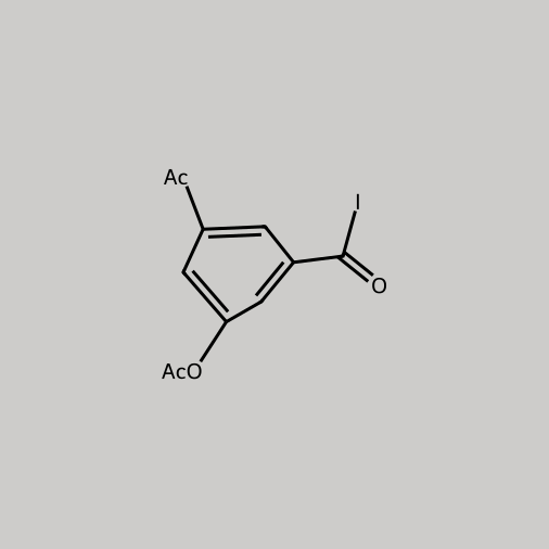 CC(=O)Oc1cc(C(C)=O)cc(C(=O)I)c1